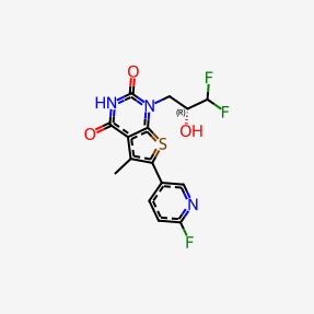 Cc1c(-c2ccc(F)nc2)sc2c1c(=O)[nH]c(=O)n2C[C@@H](O)C(F)F